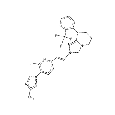 Cc1cn(-c2ccc(C=CN3CN4CCCC(c5ccccc5C(F)(F)F)C4=N3)nc2F)cn1